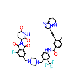 Cc1ccc(C(=O)Nc2ccc(CN3CCN(Cc4cc(F)c5c(c4)C(=O)N(C4CCC(=O)NC4=O)C5=O)CC3)c(C(F)(F)F)c2)cc1C#Cc1cnc2cccnn12